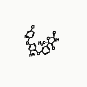 CCCc1cc(Oc2ccc(Cl)cn2)ccc1Oc1cccc([C@@]2(C)OC(=O)NC2=O)c1